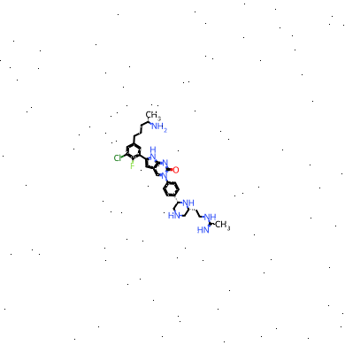 CC(=N)NCC[C@@H]1CNC[C@H](c2ccc(-n3cc4cc(-c5cc(CCC[C@H](C)N)cc(Cl)c5F)[nH]c4nc3=O)cc2)N1